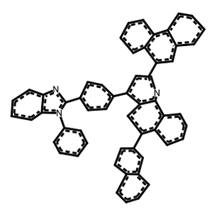 c1ccc(-n2c(-c3ccc(-c4cc(-c5cc6ccccc6c6ccccc56)nc5c4cc(-c4ccc6ccccc6c4)c4ccccc45)cc3)nc3ccccc32)cc1